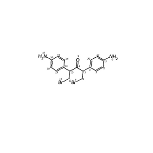 Nc1ccc(C(CBr)C(=O)C(CBr)c2ccc(N)cc2)cc1